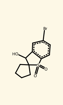 O=S1(=O)c2ccc(Br)cc2C(O)C12CCCC2